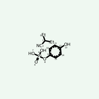 CCC(C#N)CC.O=P(O)(O)Oc1ccc(O)cc1